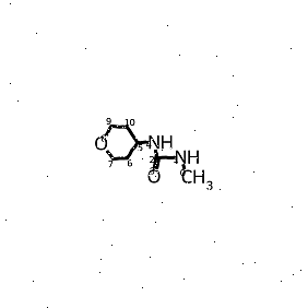 CNC(=O)NC1CCOCC1